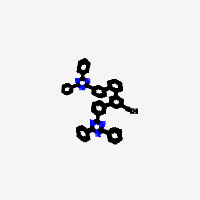 C#Cc1cc(-c2cccc(-c3nc(-c4ccccc4)nc(-c4ccccc4)n3)c2)cc(-c2ccccc2-c2cccc(-c3nc(-c4ccccc4)nc(-c4ccccc4)n3)c2)c1